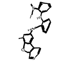 Cc1cc(Nc2ccccc2Nc2ccccc2N(C)F)cc2c1oc1cnccc12